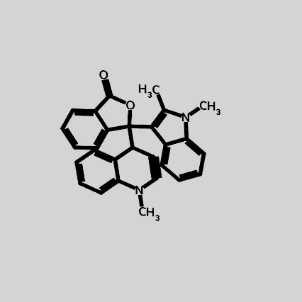 Cc1c(C2(C3C#CN(C)c4ccccc43)OC(=O)c3ccccc32)c2ccccc2n1C